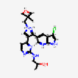 CC(O)CNc1nccc(-c2cn(CC3(C)COC3)nc2-c2cnc3[nH]cc(Cl)c3c2)n1